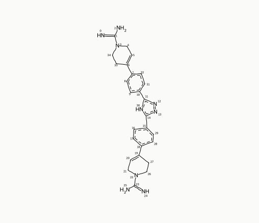 N=C(N)N1CC=C(c2ccc(-c3nnc(-c4ccc(C5=CCN(C(=N)N)CC5)cc4)[nH]3)cc2)CC1